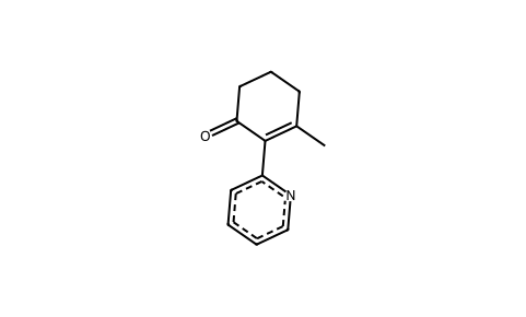 CC1=C(c2ccccn2)C(=O)CCC1